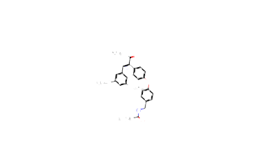 COC(=O)/C(=C/c1cc(OC)cc(OC)c1)c1ccc(Oc2ccc(CNC(=O)NC(C)=O)cc2)cc1